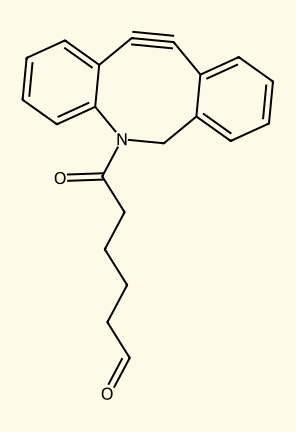 O=CCCCCC(=O)N1Cc2ccccc2C#Cc2ccccc21